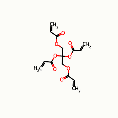 C=CC(=O)OCC(COC(=O)C=C)(OC(=O)C=C)OC(=O)C=C